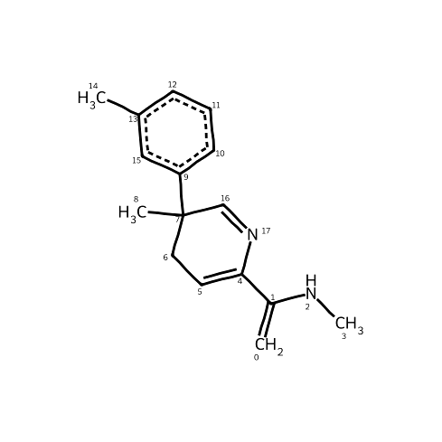 C=C(NC)C1=CCC(C)(c2cccc(C)c2)C=N1